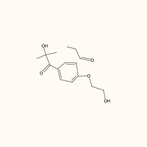 CC(C)(O)C(=O)c1ccc(OCCO)cc1.CCC=O